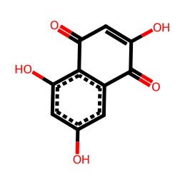 O=C1C(O)=CC(=O)c2c(O)cc(O)cc21